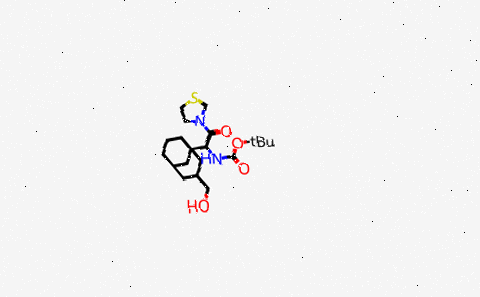 CC(C)(C)OC(=O)NC(C(=O)N1CCSC1)C12CCCC(CC(CO)C1)C2